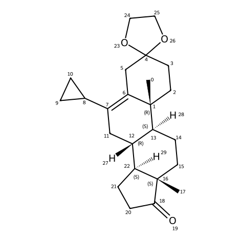 C[C@]12CCC3(CC1=C(C1CC1)C[C@@H]1[C@@H]2CC[C@]2(C)C(=O)CC[C@@H]12)OCCO3